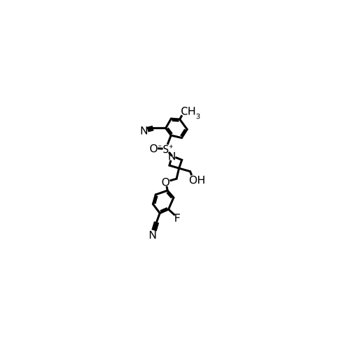 Cc1ccc([S+]([O-])N2CC(CO)(COc3ccc(C#N)c(F)c3)C2)c(C#N)c1